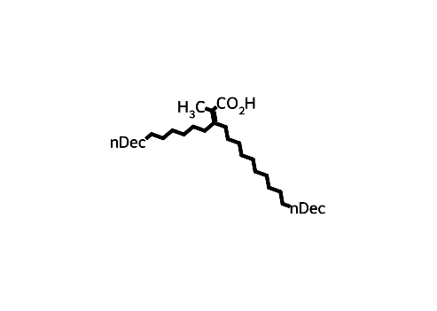 CCCCCCCCCCCCCCCCCCCC/C(CCCCCCCCCCCCCCCC)=C(/C)C(=O)O